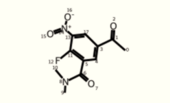 CC(=O)c1cc(C(=O)N(C)C)c(F)c([N+](=O)[O-])c1